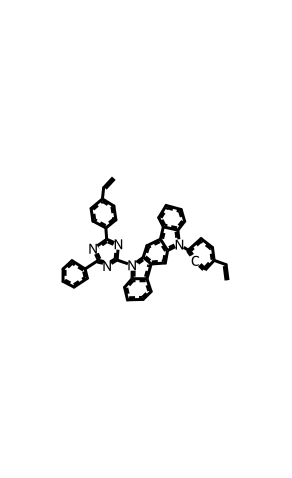 C=Cc1ccc(-c2nc(-c3ccccc3)nc(-n3c4ccccc4c4cc5c(cc43)c3ccccc3n5-c3ccc(C=C)cc3)n2)cc1